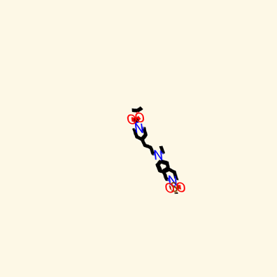 CCN(CCCC1CCN(C(=O)OC(C)C)CC1)c1ccc2c(c1)CCN(S(C)(=O)=O)C2